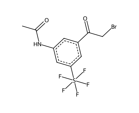 CC(=O)Nc1cc(C(=O)CBr)cc(S(F)(F)(F)(F)F)c1